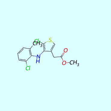 COC(=O)Cc1csc(Cl)c1Nc1c(C)cccc1Cl